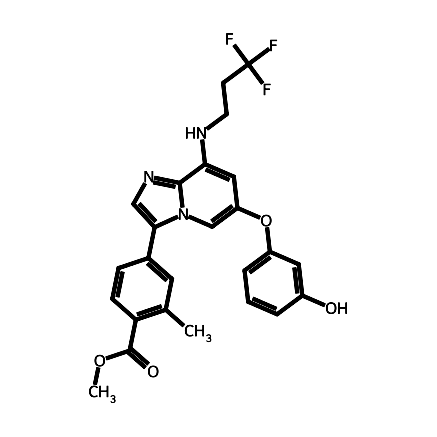 COC(=O)c1ccc(-c2cnc3c(NCCC(F)(F)F)cc(Oc4cccc(O)c4)cn23)cc1C